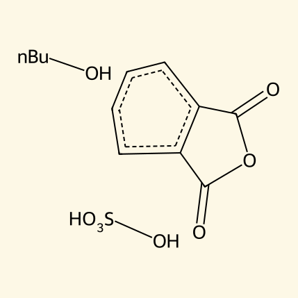 CCCCO.O=C1OC(=O)c2ccccc21.O=S(=O)(O)O